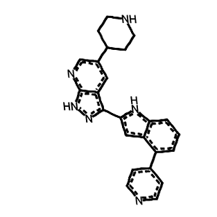 c1cc(-c2ccncc2)c2cc(-c3n[nH]c4ncc(C5CCNCC5)cc34)[nH]c2c1